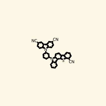 N#Cc1ccc2c(c1)c1cc(C#N)ccc1n2-c1cccc(-n2c3ccccc3c3c4sc5c(C#N)cccc5c4ccc32)c1